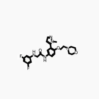 Cn1nccc1-c1cc(NC(=O)CNc2cc(F)cc(F)c2)ccc1OCCN1CCOCC1